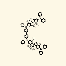 CCC(CC)(c1ccc(N(c2ccccc2)c2ccccc2)cc1C)c1ccc(N(c2ccccc2)c2ccc(-c3ccc(N(c4ccccc4)c4ccc(C(CC)(CC)c5ccc(N(c6ccccc6)c6ccccc6)cc5C)c(C)c4)cc3)cc2)cc1C